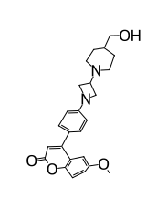 COc1ccc2oc(=O)cc(-c3ccc(N4CC(N5CCC(CO)CC5)C4)cc3)c2c1